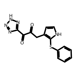 O=C(Cc1cc[nH]c1Sc1ccccc1)C(=O)c1nn[nH]n1